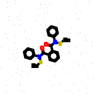 CCC(C)SN(C(=O)c1ccccc1C(=O)N(SC(C)CC)c1ccccc1)c1ccccc1